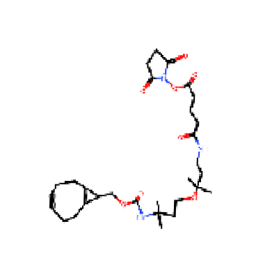 CC(C)(CCOC(C)(C)CCNC(=O)CCCC(=O)ON1C(=O)CCC1=O)NC(=O)OCC1C2CCC#CCCC21